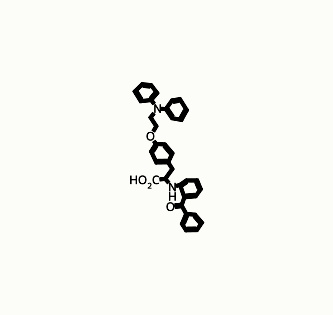 O=C(c1ccccc1)c1ccccc1NC(Cc1ccc(OCCN(c2ccccc2)c2ccccc2)cc1)C(=O)O